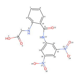 O=C(O)CNc1ccccc1C(=O)Nc1cc([N+](=O)[O-])cc([N+](=O)[O-])c1